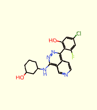 Oc1cc(Cl)cc(F)c1-c1nnc(NC2CCCC(O)C2)c2cnccc12